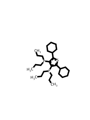 CCCP(CCC)c1c(C2CCCCC2)sc(C2CCCCC2)c1P(CCC)CCC